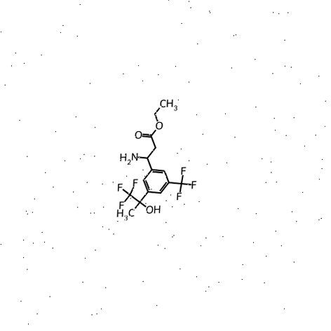 CCOC(=O)CC(N)c1cc(C(F)(F)F)cc(C(C)(O)C(F)(F)F)c1